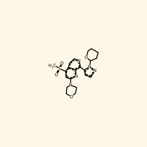 CS(=O)(=O)c1cc(N2CCOCC2)nc2c(-c3ccnn3C3CCCCO3)nccc12